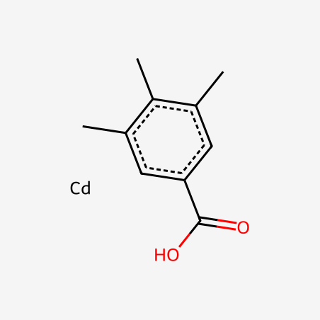 Cc1cc(C(=O)O)cc(C)c1C.[Cd]